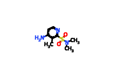 Cc1c(N)ccnc1S(=O)(=O)N(C)C